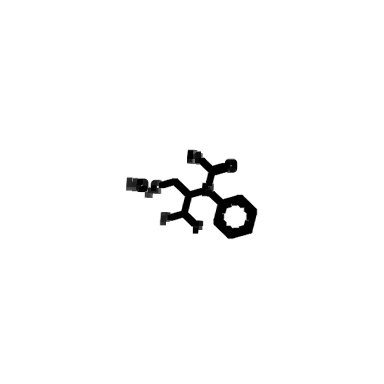 CCC(=O)N(c1ccccc1)C(CC(=O)O)C(F)F